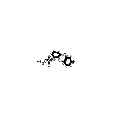 CS(=O)(=O)Nc1ccccc1Oc1ccc(F)cc1F